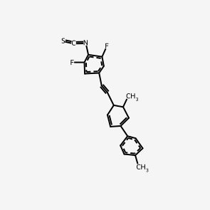 Cc1ccc(C2=CC(C)C(C#Cc3cc(F)c(N=C=S)c(F)c3)C=C2)cc1